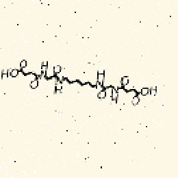 O=C(O)CCC(=O)NCC(=O)NCCCCCCNC(=O)CNC(=O)CCC(=O)O